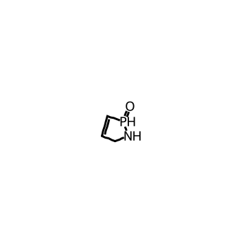 O=[PH]1C=CCN1